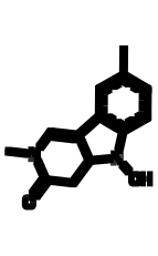 Cc1ccc2c(c1)C1=CN(C)C(=O)CC1N2O